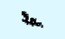 C/C(=C/c1cc(C(F)(F)F)co1)N=[N+]=[N-]